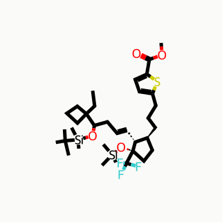 CCC1(C(C/C=C/[C@@H]2[C@@H](CCCc3ccc(C(=O)OC)s3)CC[C@@]2(O[Si](C)(C)C)C(F)(F)F)O[Si](C)(C)C(C)(C)C)CCC1